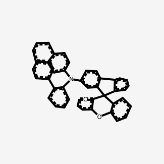 c1ccc(-c2ccccc2N(c2ccc3c(c2)C2(c4ccccc4Oc4ccccc42)c2ccccc2-3)c2ccc3ccccc3c2)cc1